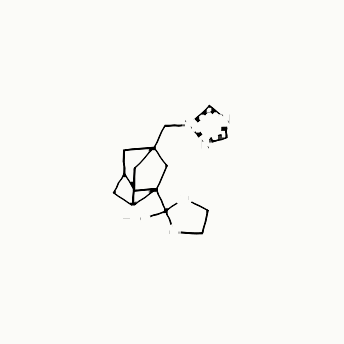 CC1(C23CC4CC2CC(Cn2cncn2)(C4)C3)OCCO1